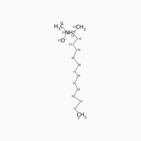 CCCCCCCCCCCCCC(C)[NH+](C)[O-]